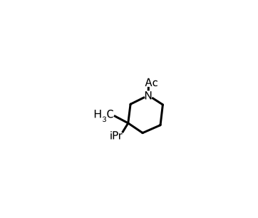 CC(=O)N1CCCC(C)(C(C)C)C1